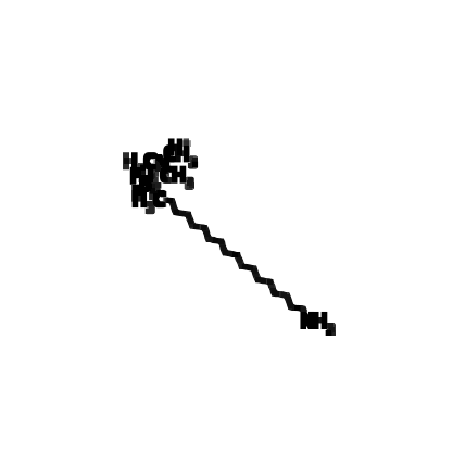 CCCCCCCCCCCCCCCCCCN.CN(C)C.F[B-](F)(F)F.[H+]